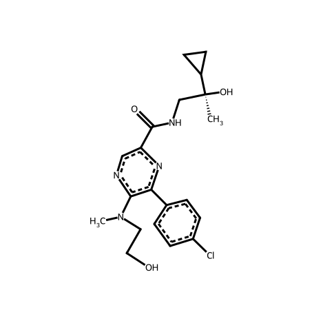 CN(CCO)c1ncc(C(=O)NC[C@](C)(O)C2CC2)nc1-c1ccc(Cl)cc1